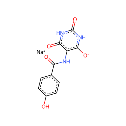 O=C(Nc1c([O-])[nH]c(=O)[nH]c1=O)c1ccc(O)cc1.[Na+]